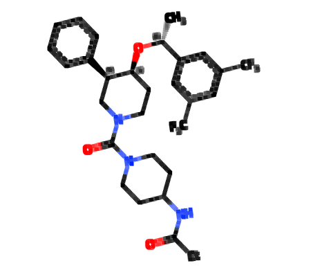 CCC(=O)NC1CCN(C(=O)N2CC[C@H](O[C@H](C)c3cc(C(F)(F)F)cc(C(F)(F)F)c3)[C@H](c3ccccc3)C2)CC1